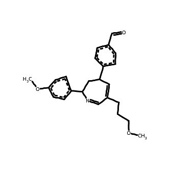 COCCCC1=CC(c2ccc(C=O)cc2)CC(c2ccc(OC)cc2)N=C1